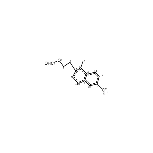 Cc1c(CCOC=O)cnc2cc(C(F)(F)F)ccc12